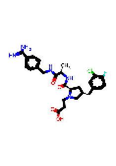 C[C@H](NC(=O)[C@H]1C[C@H](Cc2ccc(F)c(Cl)c2)CN1CCC(=O)O)C(=O)NCc1ccc(C(=N)N)cc1